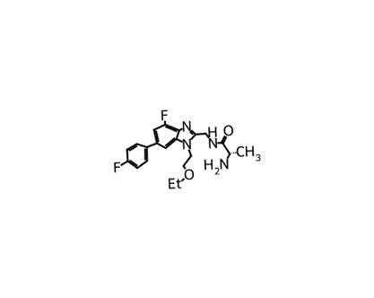 CCOCCn1c(CNC(=O)[C@H](C)N)nc2c(F)cc(-c3ccc(F)cc3)cc21